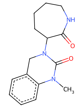 CN1C(=O)N(C2CCCCNC2=O)Cc2ccccc21